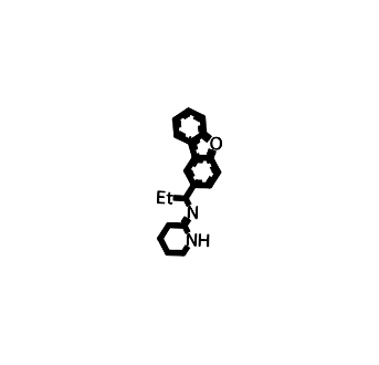 CCC(N=C1CCCCN1)c1ccc2oc3ccccc3c2c1